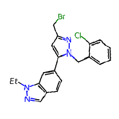 CCn1ncc2ccc(-c3cc(CBr)nn3Cc3ccccc3Cl)cc21